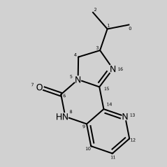 CC(C)C1CN2C(=O)Nc3cccnc3C2=N1